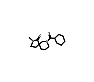 CN1CCC2(CCCN(C(=O)C3CCCCC3)C2)C1=O